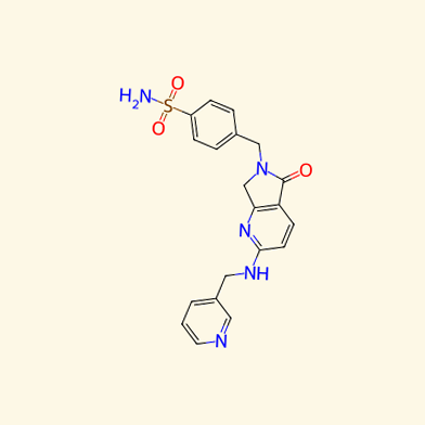 NS(=O)(=O)c1ccc(CN2Cc3nc(NCc4cccnc4)ccc3C2=O)cc1